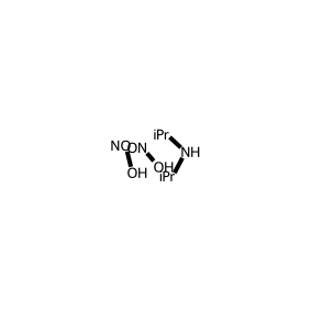 CC(C)NC(C)C.O=NO.O=NO